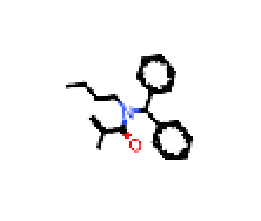 C=C(C)C(=O)N(CCCC)C(c1ccccc1)c1ccccc1